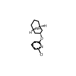 Clc1cccc(O[C@@H]2C[C@H]3CCC[C@@H](C2)N3)n1